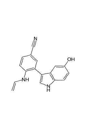 C=CNc1ccc(C#N)cc1-c1c[nH]c2ccc(O)cc12